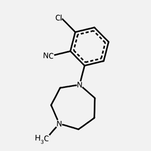 CN1CCCN(c2cccc(Cl)c2C#N)CC1